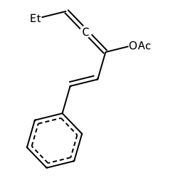 CCC=C=C(C=Cc1ccccc1)OC(C)=O